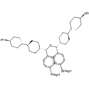 CCCCCCCc1ccc(C(OC(c2ccc(CCCCCCC)cc2)[C@H]2CC[C@H]([C@H]3CC[C@H](CCC)CC3)CC2)[C@H]2CC[C@H]([C@H]3CC[C@H](CCC)CC3)CC2)cc1